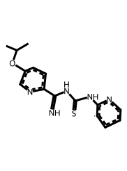 CC(C)Oc1ccc(C(=N)NC(=S)Nc2[c]cccn2)nc1